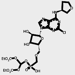 CCOC(=O)OC(OC(=O)OCC)OP(=O)(O)COC[C@H]1O[C@@H](n2cnc3c(N[C@H]4CCOC4)nc(Cl)nc32)[C@H](O)[C@@H]1O